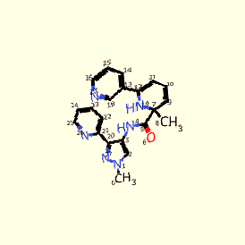 Cn1cc(NC(=O)C2(C)C=CC=C(c3cccnc3)N2)c(-c2ccccn2)n1